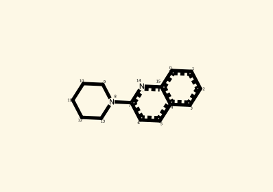 [c]1cccc2ccc(N3CCCCC3)nc12